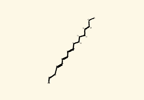 [CH2]CCC=CC=CC=CCCCCCCC[CH2]